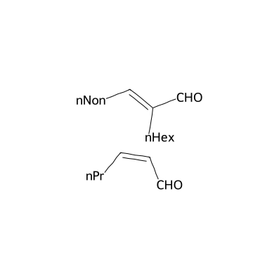 CCC/C=C\C=O.CCCCCCCCC/C=C(/C=O)CCCCCC